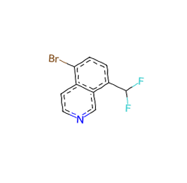 FC(F)c1ccc(Br)c2ccncc12